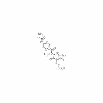 CCCCCCSC(C(=O)[C@@H](N)CCC(=O)O)[C@H](N)C(=O)c1ccc(OC(=O)CN)cc1